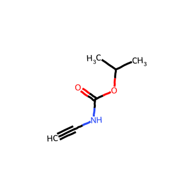 C#CNC(=O)OC(C)C